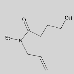 C=CCN(CC)C(=O)CCCO